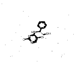 OC[C@H](Nc1nc(Cl)ncc1Cl)c1ccccc1